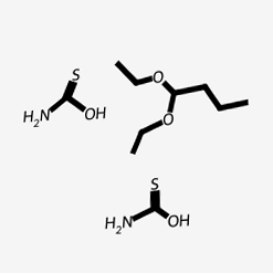 CCCC(OCC)OCC.NC(O)=S.NC(O)=S